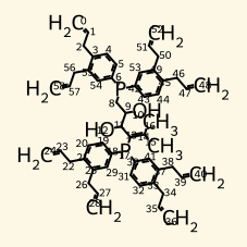 C=CCc1ccc(P(CC(O)C(O)C(=C(C)C)P(c2ccc(CC=C)c(CC=C)c2)c2ccc(CC=C)c(CC=C)c2)c2ccc(CC=C)c(CC=C)c2)cc1CC=C